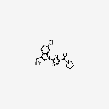 CC(C)Cc1cn(-c2nc(C(=O)N3CCCC3)cs2)c2cc(Cl)ccc12